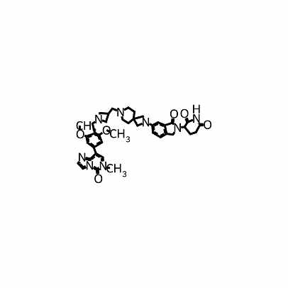 COc1cc(-c2cn(C)c(=O)n3ccnc23)cc(OC)c1CN1CC(CN2CCC3(CC2)CN(c2ccc4c(c2)C(=O)N(C2CCC(=O)NC2=O)C4)C3)C1